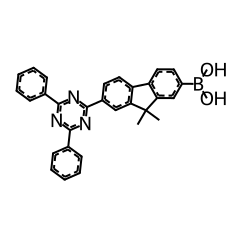 CC1(C)c2cc(B(O)O)ccc2-c2ccc(-c3nc(-c4ccccc4)nc(-c4ccccc4)n3)cc21